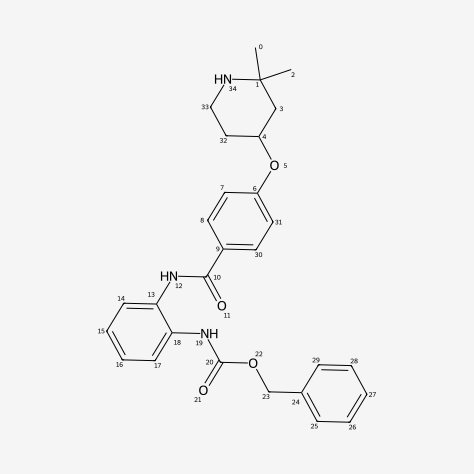 CC1(C)CC(Oc2ccc(C(=O)Nc3ccccc3NC(=O)OCc3ccccc3)cc2)CCN1